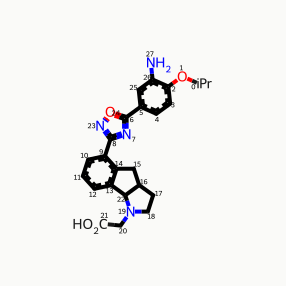 CC(C)Oc1ccc(-c2nc(-c3cccc4c3CC3CCN(CC(=O)O)C43)no2)cc1N